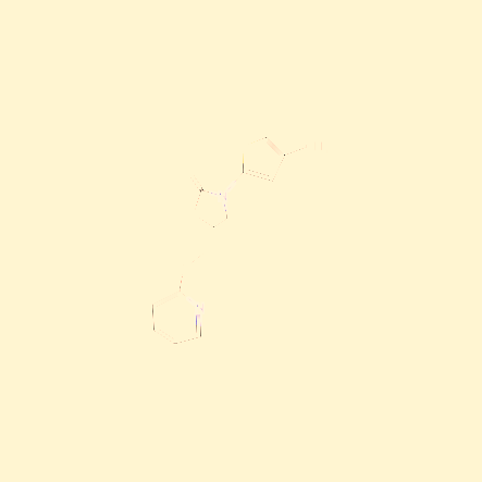 Cc1csc(N2C[C@H](COc3ccccn3)OC2=O)c1